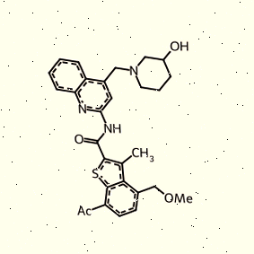 COCc1ccc(C(C)=O)c2sc(C(=O)Nc3cc(CN4CCCC(O)C4)c4ccccc4n3)c(C)c12